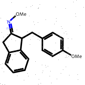 CO/N=C1/Cc2ccccc2C1Cc1ccc(OC)cc1